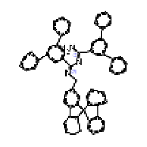 N/C(=N\C(=N/Cc1ccc2c(c1)C1(C3=C2C=CCC3)c2ccccc2-c2ccccc21)c1cc(-c2ccccc2)cc(-c2ccccc2)c1)c1cc(-c2ccccc2)cc(-c2ccccc2)c1